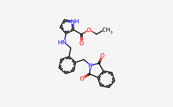 CCOC(=O)c1[nH]ccc1NCc1ccccc1CN1C(=O)c2ccccc2C1=O